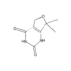 CC1(C)OCc2c1[nH]c(=O)[nH]c2=O